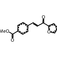 COC(=O)c1ccc(/C=C/C(=O)c2ccco2)cc1